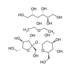 CCOCC.OC[C@@H](O)[C@@H](O)[C@H](O)[C@@H](O)CO.OC[C@H]1O[C@@](CO)(O[C@H]2O[C@H](CO)[C@@H](O)[C@H](O)[C@H]2O)[C@@H](O)[C@@H]1O